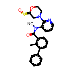 Cc1c(C(=O)N(C#N)c2cccnc2N2CCOC(=S=O)C2)cccc1-c1ccccc1